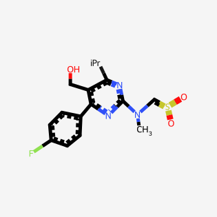 CC(C)c1nc(N(C)C=S(=O)=O)nc(-c2ccc(F)cc2)c1CO